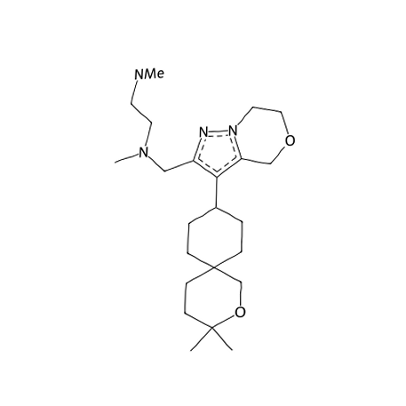 CNCCN(C)Cc1nn2c(c1C1CCC3(CC1)CCC(C)(C)OC3)COCC2